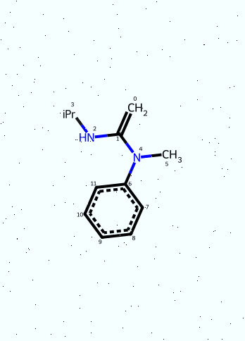 C=C(NC(C)C)N(C)c1ccccc1